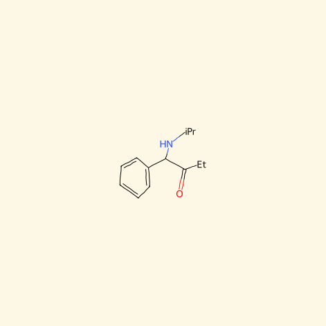 CCC(=O)C(NC(C)C)c1ccccc1